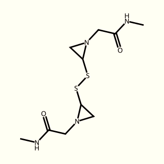 CNC(=O)CN1CC1SSC1CN1CC(=O)NC